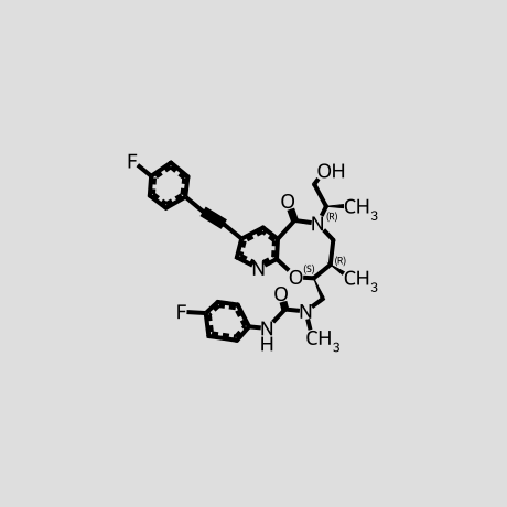 C[C@@H]1CN([C@H](C)CO)C(=O)c2cc(C#Cc3ccc(F)cc3)cnc2O[C@@H]1CN(C)C(=O)Nc1ccc(F)cc1